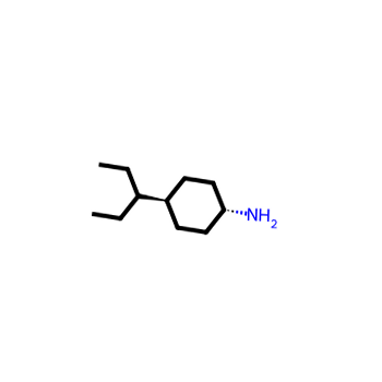 CCC(CC)[C@H]1CC[C@H](N)CC1